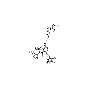 COc1c(OCCCN2CC[C@@H](NC(=O)OC(C)(C)C)C2)ccc(/C=C/c2n[nH]c3ccccc23)c1NC(=O)c1sccc1C